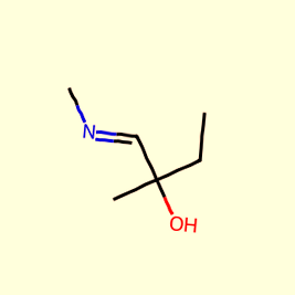 CCC(C)(O)C=NC